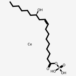 CCCCCC[C@@H](O)C/C=C\CCCCCCCC(=O)OP(=O)(O)O.[Ce]